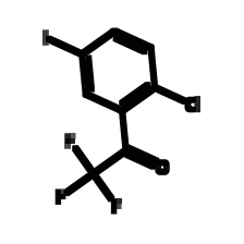 O=C(c1cc(I)ccc1Cl)C(F)(F)F